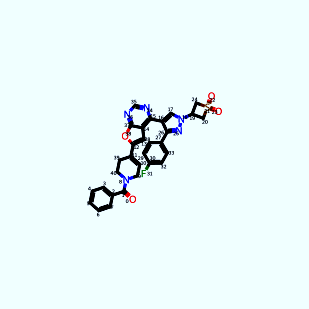 O=C(c1ccccc1)N1CC=C(c2cc3c(-c4cn(C5CS(=O)(=O)C5)nc4-c4ccc(F)cc4)ncnc3o2)CC1